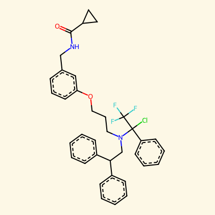 O=C(NCc1cccc(OCCCN(CC(c2ccccc2)c2ccccc2)C(Cl)(c2ccccc2)C(F)(F)F)c1)C1CC1